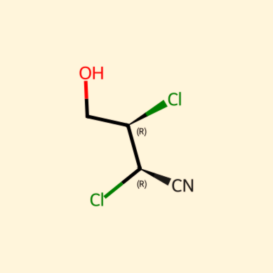 N#C[C@@H](Cl)[C@H](Cl)CO